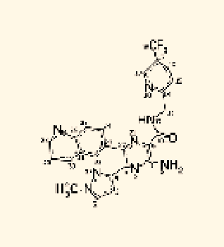 Cn1ccc(-c2nc(N)c(C(=O)NCc3ccc(C(F)(F)F)cn3)nc2-c2ccc3ncccc3c2)n1